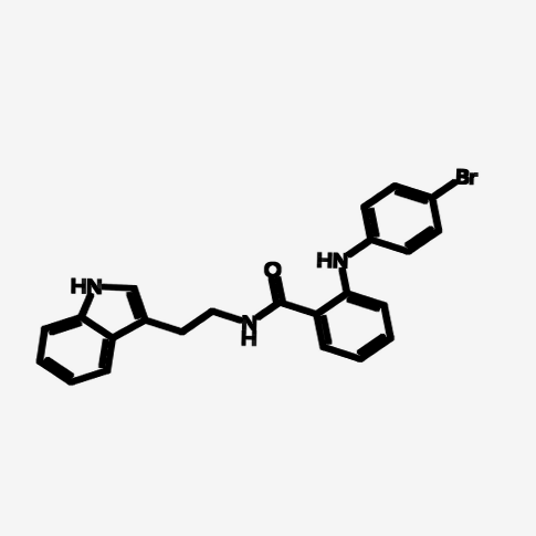 O=C(NCCc1c[nH]c2ccccc12)c1ccccc1Nc1ccc(Br)cc1